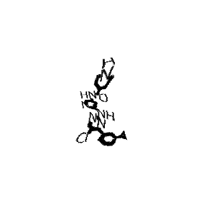 O=C(Nc1cncc(Nc2ncc(Cl)c(-c3cccc(C4CC4)c3)n2)c1)C1CCNCC1